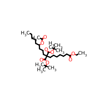 CCCCCC(CCCC(CCCCCCC(=O)OCC)(C(=O)OC(C)(C)C)C(=O)OC(C)(C)C)OC(C)=O